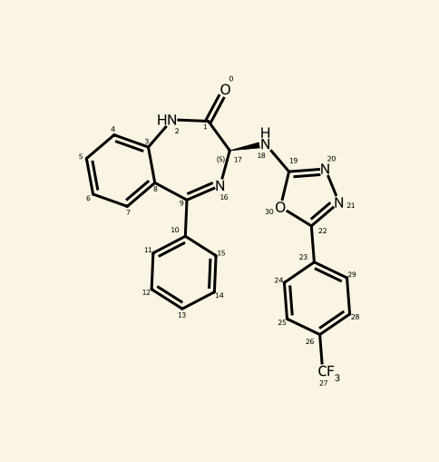 O=C1Nc2ccccc2C(c2ccccc2)=N[C@@H]1Nc1nnc(-c2ccc(C(F)(F)F)cc2)o1